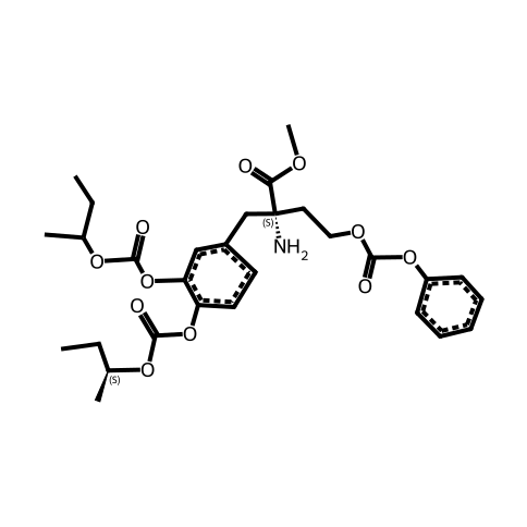 CCC(C)OC(=O)Oc1cc(C[C@](N)(CCOC(=O)Oc2ccccc2)C(=O)OC)ccc1OC(=O)O[C@@H](C)CC